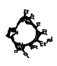 CCC1=C(CC)C2=C(CC)C3=C(CC)C(=O)C(C=C4C=CC(=N4)C=c4[nH]c(c(CC)c4CC)=C(CC)C1=N2)N3CC.[Pd]